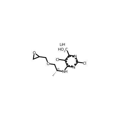 C[C@H](COCC1CO1)Nc1nc(Cl)nc(C(=O)O)c1Cl.[LiH]